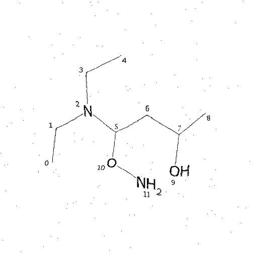 CCN(CC)C(CC(C)O)ON